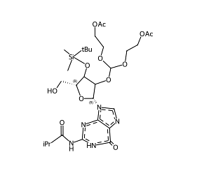 CC(=O)OCCOC(OCCOC(C)=O)OC1C(O[Si](C)(C)C(C)(C)C)[C@@H](CO)O[C@H]1n1cnc2c(=O)[nH]c(NC(=O)C(C)C)nc21